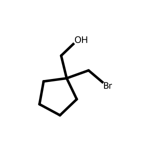 OCC1(CBr)CCCC1